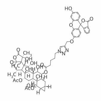 CC(=O)O[C@H]1[C@H]2[C@@H]([C@@H](O)[C@@H](OC(=O)CCCCn3cc(COc4ccc5c(c4)Oc4cc(O)ccc4C54OC(=O)c5ccccc54)nn3)[C@H]3C[C@@H]4C[C@@H]4[C@H](OC(C)=O)[C@]23C)[C@@H]2[C@@H](O)[C@@H]3[C@H]([C@H](C)C4OC45OC(=O)[C@@](C)(O)[C@]35C)[C@@]2(C)[C@H]1OC(C)=O